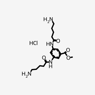 COC(=O)c1cc(NC(=O)CCCCN)cc(NC(=O)CCCCN)c1.Cl